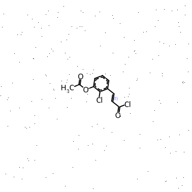 CC(=O)Oc1cccc(/C=C/C(=O)Cl)c1Cl